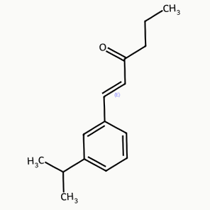 CCCC(=O)/C=C/c1cccc(C(C)C)c1